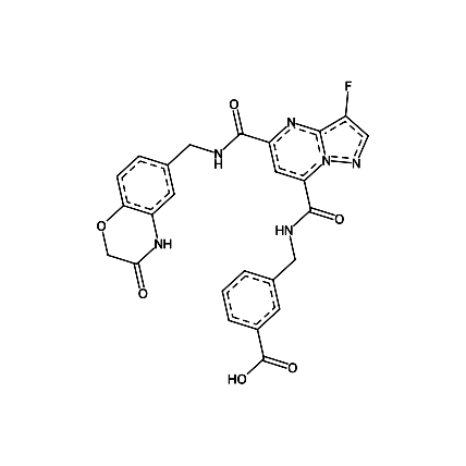 O=C1COc2ccc(CNC(=O)c3cc(C(=O)NCc4cccc(C(=O)O)c4)n4ncc(F)c4n3)cc2N1